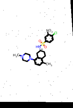 Cc1ccc(N2CCN(C)CC2)c2c1CC[C@@H](NS(=O)(=O)c1ccc(Cl)c([N+](=O)[O-])c1)C2